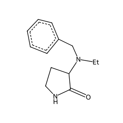 CCN(Cc1ccccc1)C1CCNC1=O